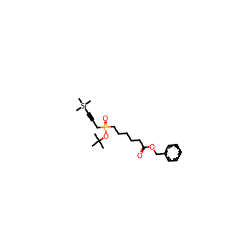 CC(C)(C)OP(=O)(CC#C[Si](C)(C)C)CCCCCC(=O)OCc1ccccc1